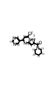 O=C(c1cc2nc(-c3cncnc3)cc(C(F)(F)F)n2n1)N1CCCCC1